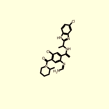 C=C(NC(C)c1nc2cc(Cl)ccc2[nH]1)c1cc(Cl)c(C(=O)N2CCCCC2C)cc1/N=C\N